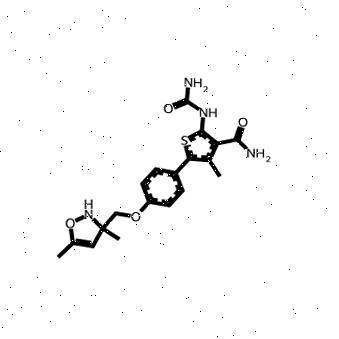 CC1=CC(C)(COc2ccc(-c3sc(NC(N)=O)c(C(N)=O)c3C)cc2)NO1